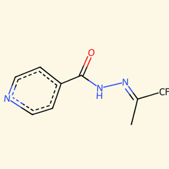 C/C(=N\NC(=O)c1ccncc1)C(F)(F)F